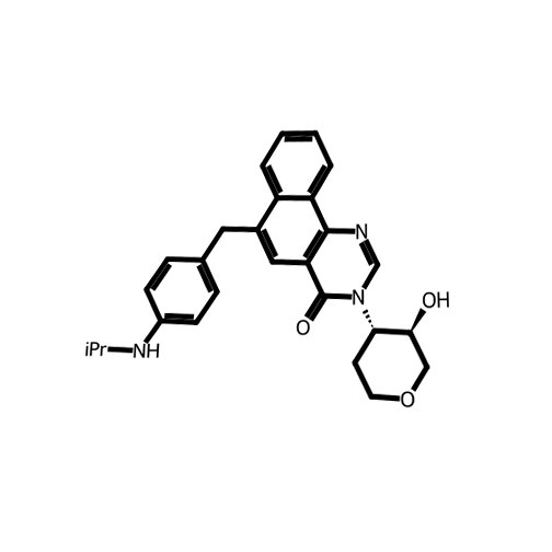 CC(C)Nc1ccc(Cc2cc3c(=O)n([C@H]4CCOC[C@@H]4O)cnc3c3ccccc23)cc1